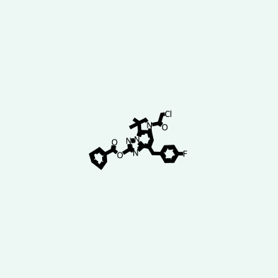 CC1(C)CN(C(=O)CCl)c2cc(Cc3ccc(F)cc3)c3nc(OC(=O)c4ccccc4)nn3c21